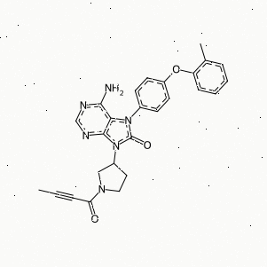 CC#CC(=O)N1CCC(n2c(=O)n(-c3ccc(Oc4ccccc4C)cc3)c3c(N)ncnc32)C1